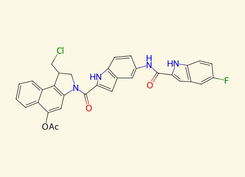 CC(=O)Oc1cc2c(c3ccccc13)C(CCl)CN2C(=O)c1cc2cc(NC(=O)c3cc4cc(F)ccc4[nH]3)ccc2[nH]1